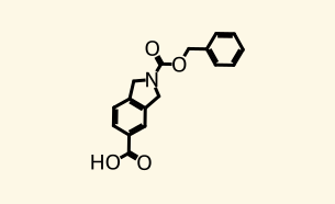 O=C(O)c1ccc2c(c1)CN(C(=O)OCc1ccccc1)C2